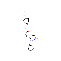 CS(=O)(=O)Nc1ccc(CNC(=O)/C=C\c2ccc(C(F)(F)F)nc2Nc2ccccc2)cc1F